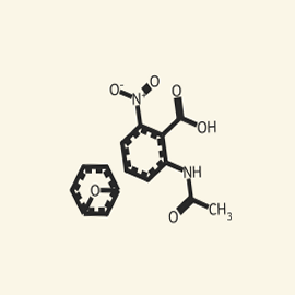 CC(=O)Nc1cccc([N+](=O)[O-])c1C(=O)O.c1cc2cc(c1)O2